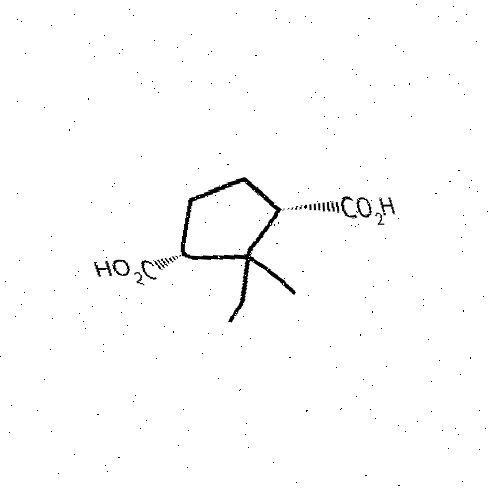 CC1(C)[C@@H](C(=O)O)CC[C@H]1C(=O)O